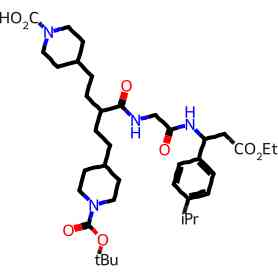 CCOC(=O)CC(NC(=O)CNC(=O)C(CCC1CCN(C(=O)O)CC1)CCC1CCN(C(=O)OC(C)(C)C)CC1)c1ccc(C(C)C)cc1